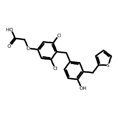 O=C(O)COc1cc(Cl)c(Cc2ccc(O)c(Cc3cccs3)c2)c(Cl)c1